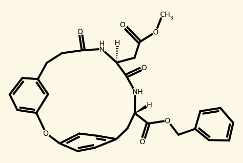 COC(=O)C[C@@H]1NC(=O)CCc2cccc(c2)Oc2ccc(cc2)C[C@@H](C(=O)OCc2ccccc2)NC1=O